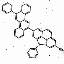 N#Cc1cc2ccc3cc(-c4cc5c6ccccc6c(-c6ccccc6)cc5c5ccccc45)cc4c3c2c(c1)n4-c1ccccc1